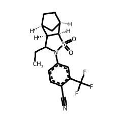 CCC1[C@H]2[C@H]3CC[C@H](C3)[C@H]2S(=O)(=O)N1c1ccc(C#N)c(C(F)(F)F)c1